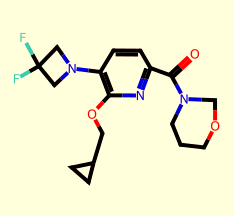 O=C(c1ccc(N2CC(F)(F)C2)c(OCC2CC2)n1)N1CCCOC1